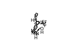 Cc1c(NCCN2CCCC2)cc(OCC(F)(CF)CF)cc1N1CCN(c2ncnc3[nH]nc(C#CCO)c23)CC1